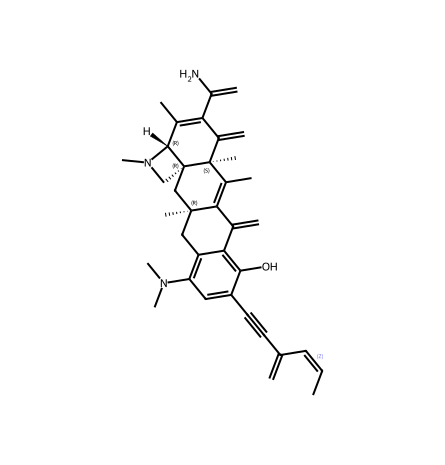 C=C(C#Cc1cc(N(C)C)c2c(c1O)C(=C)C1=C(C)[C@]3(C)C(=C)C(C(=C)N)=C(C)[C@H]4N(C)C[C@]43C[C@]1(C)C2)/C=C\C